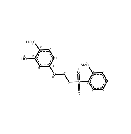 COc1ccccc1S(=O)(=O)CCOc1ccc(C(=O)O)c(O)c1